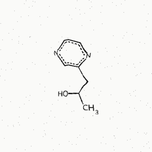 CC(O)Cc1cnccn1